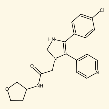 O=C(CN1CNC(c2ccc(Cl)cc2)=C1c1ccncc1)NC1CCOC1